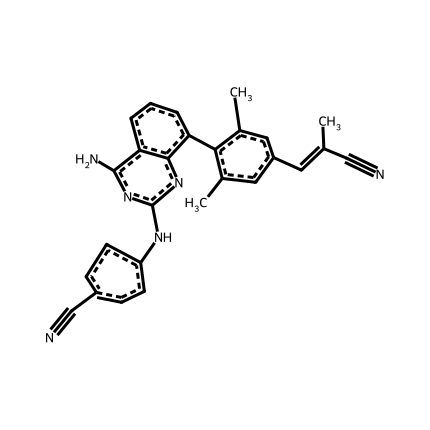 C/C(C#N)=C\c1cc(C)c(-c2cccc3c(N)nc(Nc4ccc(C#N)cc4)nc23)c(C)c1